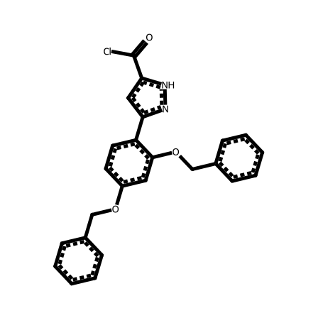 O=C(Cl)c1cc(-c2ccc(OCc3ccccc3)cc2OCc2ccccc2)n[nH]1